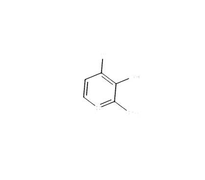 CC(C)(C)c1nccc(Br)c1O